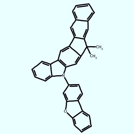 CC1(C)c2cc3ccccc3cc2-c2cc3c4ccccc4n(-c4ccc5c(c4)oc4ccccc45)c3cc21